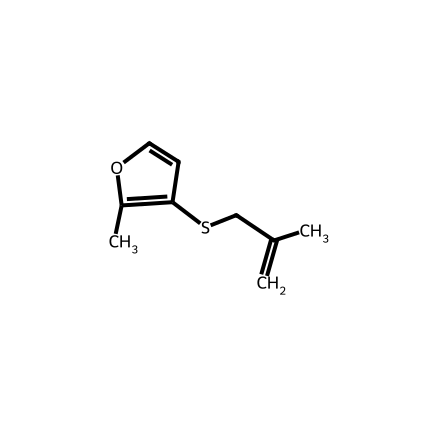 C=C(C)CSc1ccoc1C